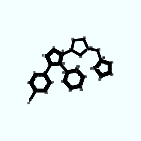 Fc1ccc(-c2ncn(C3CCN(Cc4ccon4)C3)c2-c2ccncn2)cc1